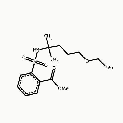 COC(=O)c1ccccc1S(=O)(=O)NC(C)(C)CCCOCC(C)(C)C